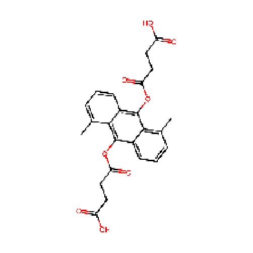 Cc1cccc2c(OC(=O)CCC(=O)O)c3c(C)cccc3c(OC(=O)CCC(=O)O)c12